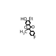 CCc1cc2c(=O)c(-c3ccc(F)cc3)c(C)oc2cc1O